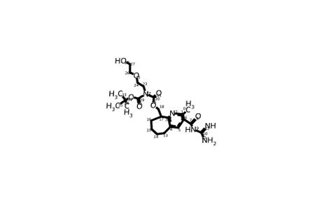 Cc1nc2c(cc1C(=O)NC(=N)N)CCCCC2COC(=O)N(CCOCCO)C(=O)OC(C)(C)C